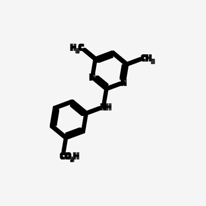 Cc1cc(C)nc(Nc2cccc(C(=O)O)c2)n1